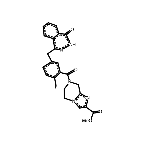 COC(=O)c1cn2c(n1)CN(C(=O)c1cc(Cc3n[nH]c(=O)c4ccccc34)ccc1F)CC2